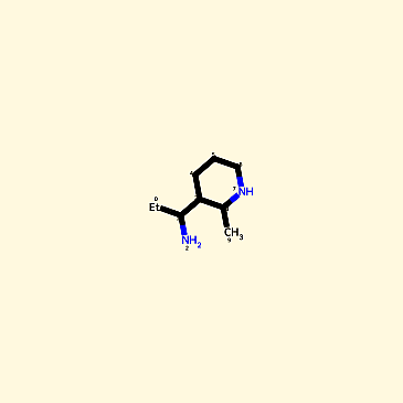 CCC(N)C1CCCNC1C